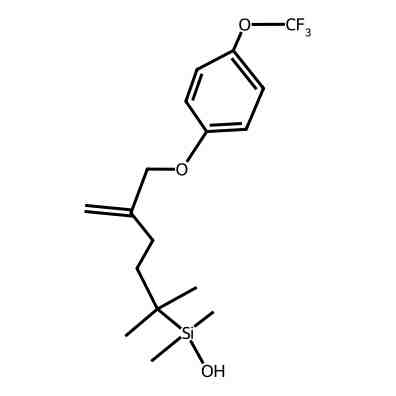 C=C(CCC(C)(C)[Si](C)(C)O)COc1ccc(OC(F)(F)F)cc1